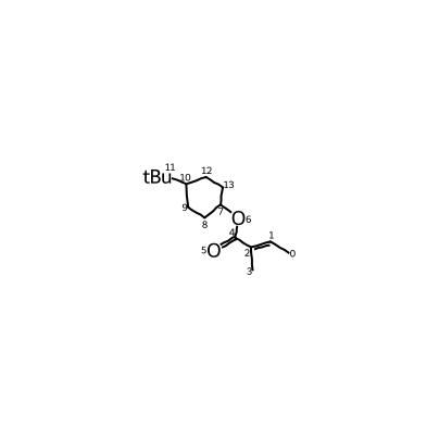 CC=C(C)C(=O)OC1CCC(C(C)(C)C)CC1